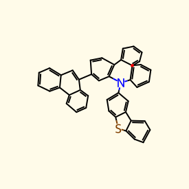 c1ccc(-c2ccc(-c3cc4ccccc4c4ccccc34)cc2N(c2ccccc2)c2ccc3sc4ccccc4c3c2)cc1